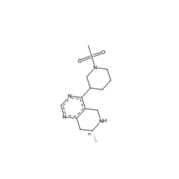 C[C@@H]1Cc2ncnc(C3CCCN(S(C)(=O)=O)C3)c2CN1